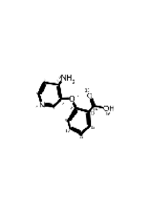 Nc1ccncc1Oc1ccccc1C(=O)O